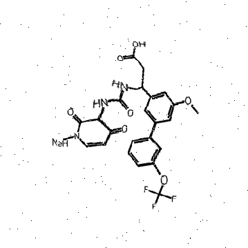 COc1cc(-c2cccc(OC(F)(F)F)c2)cc(C(CC(=O)O)NC(=O)NC2C(=O)C=CN(C)C2=O)c1.[NaH]